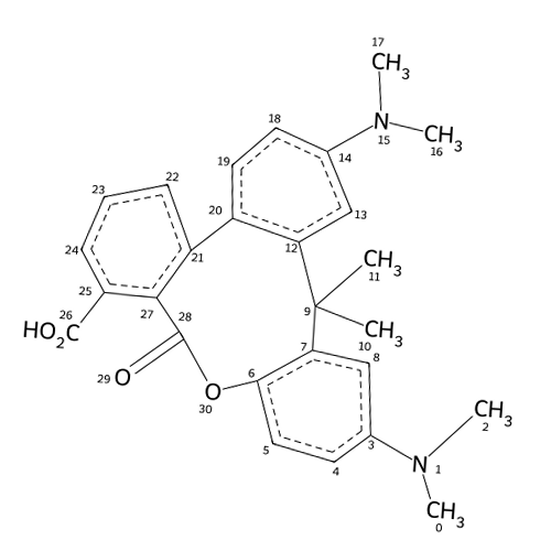 CN(C)c1ccc2c(c1)C(C)(C)c1cc(N(C)C)ccc1-c1cccc(C(=O)O)c1C(=O)O2